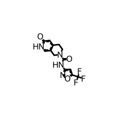 O=C(Nc1cc(C(F)(F)F)on1)N1CCc2cc(=O)[nH]cc2C1